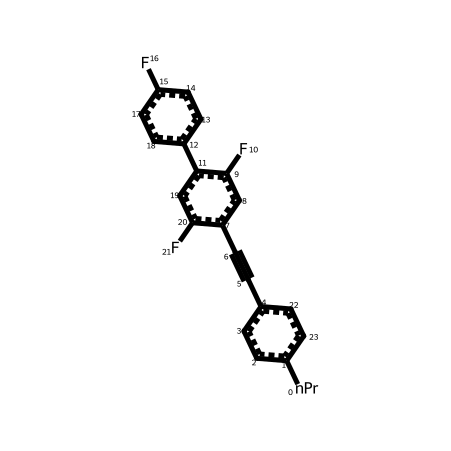 CCCc1ccc(C#Cc2cc(F)c(-c3ccc(F)cc3)cc2F)cc1